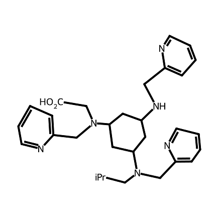 CC(C)CN(Cc1ccccn1)C1CC(NCc2ccccn2)CC(N(CC(=O)O)Cc2ccccn2)C1